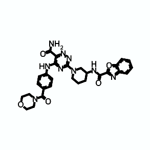 NC(=O)c1nnc(N2CCCC(NC(=O)c3nc4ccccc4o3)C2)nc1Nc1ccc(C(=O)N2CCOCC2)cc1